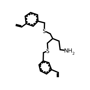 C=Cc1cccc(CSCC(CCN)CSCc2cccc(C=C)c2)c1